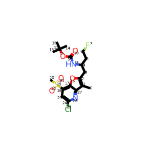 Cc1c(CC(CCF)NC(=O)OC(C)(C)C)oc2c(S(C)(=O)=O)cc(Cl)nc12